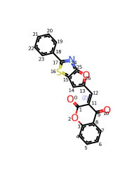 O=C1Oc2ccccc2C(=O)/C1=C/c1cc2sc(-c3ccccc3)nc2o1